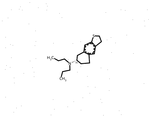 CCCN(CCC)[C@H]1CCc2cc3c(cc2C1)SCC3